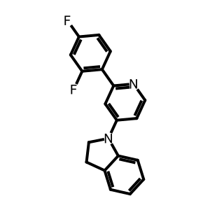 Fc1ccc(-c2cc(N3CCc4ccccc43)ccn2)c(F)c1